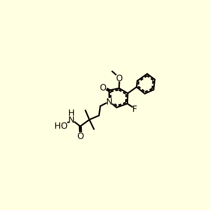 COc1c(-c2ccccc2)c(F)cn(CCC(C)(C)C(=O)NO)c1=O